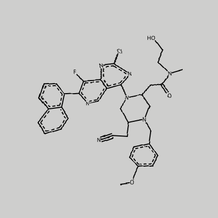 COc1ccc(CN2CC(CC(=O)N(C)CCO)N(c3nc(Cl)nc4c(F)c(-c5cccc6ccccc56)ncc34)CC2CC#N)cc1